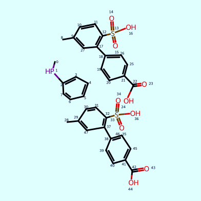 CPc1ccccc1.Cc1ccc(S(=O)(=O)O)c(-c2ccc(C(=O)O)cc2)c1.Cc1ccc(S(=O)(=O)O)c(-c2ccc(C(=O)O)cc2)c1